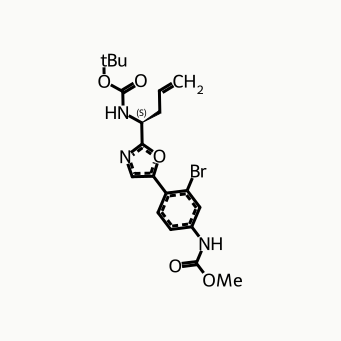 C=CC[C@H](NC(=O)OC(C)(C)C)c1ncc(-c2ccc(NC(=O)OC)cc2Br)o1